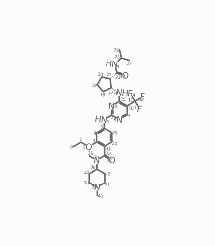 CCOc1cc(Nc2ncc(C(F)(F)F)c(N[C@@H]3CCC[C@@H]3C(=O)NC(C)C)n2)ccc1C(=O)N(C)C1CCN(C)CC1